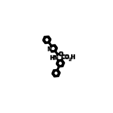 O=C(Nc1cc(-c2ccccc2)ccc1C(=O)O)c1ccc(-c2ccccc2)nc1